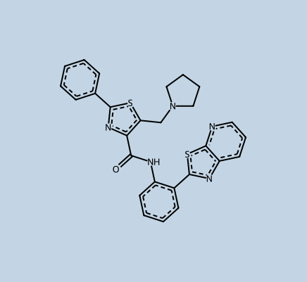 O=C(Nc1ccccc1-c1nc2cccnc2s1)c1nc(-c2ccccc2)sc1CN1CCCC1